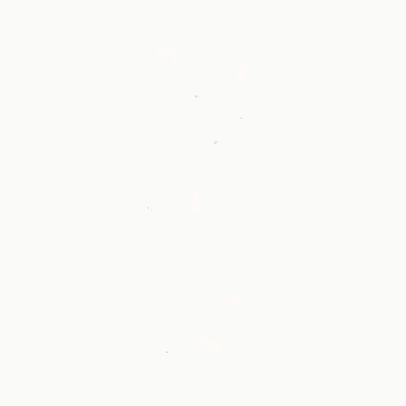 CC(C)Oc1cc2c(OCC[C@@H]3C[C@H](C(C)(C)O)C(=O)N3)nccc2cc1C(N)=O